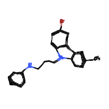 Cc1ccc2c(c1)C1CC(Br)=CC=C1N2CCCNc1ccccc1